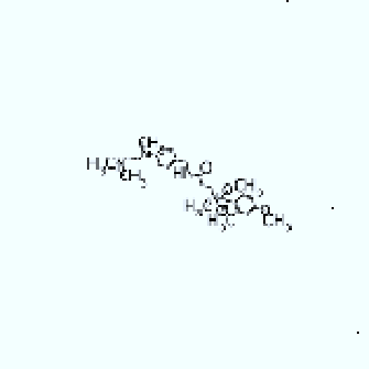 COc1cc(C)c(S(=O)(=O)N(C)CCC(=O)NCc2ccc(N(C)CCN(C)C)cc2)c(C)c1